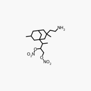 CC1CC2CC(C)(CCN)CC(C(C)C(CO[N+](=O)[O-])O[N+](=O)[O-])(C1)C2